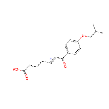 CC(C)COc1ccc(C(=O)/C=C/CCCC(=O)O)cc1